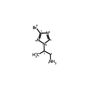 CC(CN)n1cnc(Br)n1